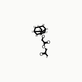 CC(=O)COC(=O)COC12CC3CC(CC(C3)C1)C2